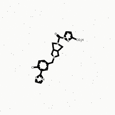 O=C(O)c1ccn(C(=O)N2CC3CN(Cc4ccc(Cl)c(-c5nccs5)c4)CC3C2)n1